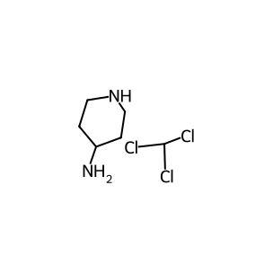 ClC(Cl)Cl.NC1CCNCC1